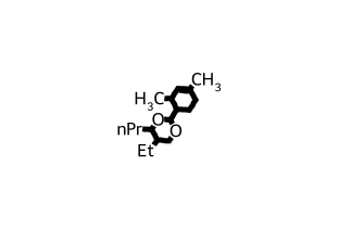 CCCC1OC(C2CCC(C)=CC2C)OCC1CC